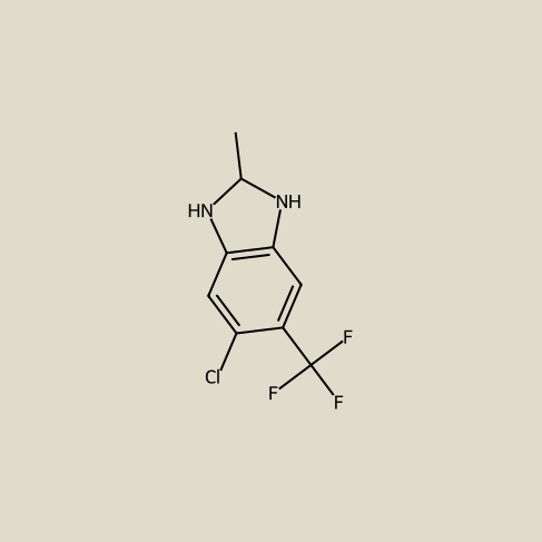 CC1Nc2cc(Cl)c(C(F)(F)F)cc2N1